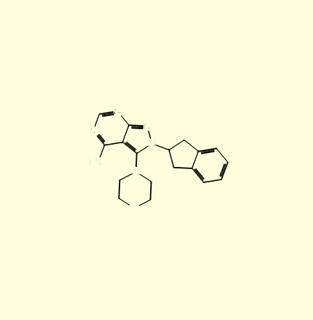 Nc1ncnc2nn(C3Cc4ccccc4C3)c(N3CCOCC3)c12